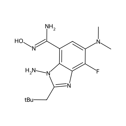 CN(C)c1cc(C(N)=NO)c2c(nc(CC(C)(C)C)n2N)c1F